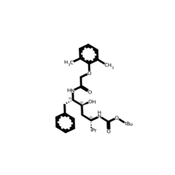 Cc1cccc(C)c1OCC(=O)N[C@@H](Cc1ccccc1)[C@@H](O)C[C@H](NC(=O)OC(C)(C)C)C(C)C